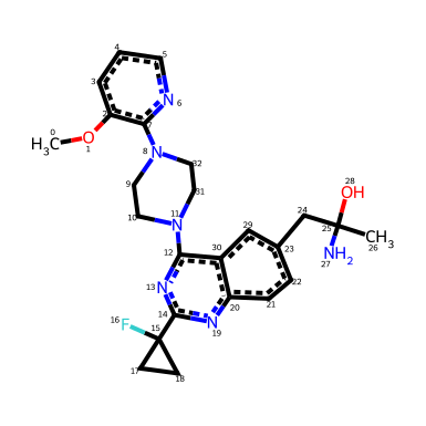 COc1cccnc1N1CCN(c2nc(C3(F)CC3)nc3ccc(CC(C)(N)O)cc23)CC1